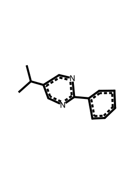 CC(C)c1cnc(-c2ccccc2)nc1